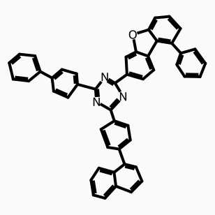 c1ccc(-c2ccc(-c3nc(-c4ccc(-c5cccc6ccccc56)cc4)nc(-c4ccc5c(c4)oc4cccc(-c6ccccc6)c45)n3)cc2)cc1